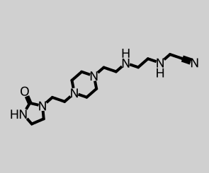 N#CCNCCNCCN1CCN(CCN2CCNC2=O)CC1